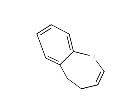 C1=COc2ccccc2CC1